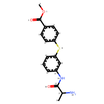 COC(=O)c1ccc(Sc2cccc(NC(=O)C(C)N)c2)cc1